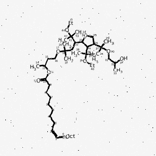 CCCCCCCC/C=C\CCCCCCCC(=O)OC(C)CCOC(C)(C)CC(C1OCC(C(C)(C)OCC(C)O)C1C(C)(C)OCC)C(C)(C)OCC